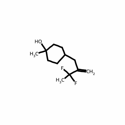 C=C(CC1CCC(C)(O)CC1)C(C)(F)F